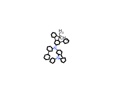 CC1(C)c2ccccc2-c2cc(N(c3cccc(-c4ccccc4)c3)c3ccc4c5ccccc5n(-c5ccccc5)c4c3)cc(-c3ccccc3)c21